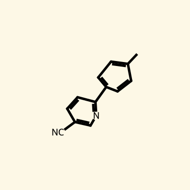 Cc1ccc(-c2ccc(C#N)cn2)cc1